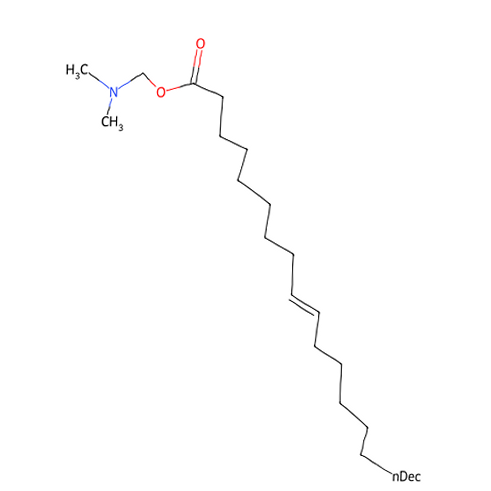 CCCCCCCCCCCCCCCC=CCCCCCCCC(=O)OCN(C)C